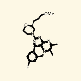 COCCC[C@H]1CN(c2nc(-c3ccc(F)cc3F)c3nc(C)c(C)nc3n2)CCO1